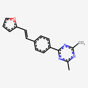 Cc1nc(-c2ccc(C=Cc3ccco3)cc2)nc(C(Cl)(Cl)Cl)n1